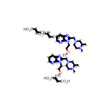 CCOCCn1c(CN2CCN(C)C(C)C2)nc2cccnc21.CCOCCn1c(CN2CCN(C)C(C)C2)nc2cccnc21.O=C(O)C=CC(=O)O.O=C(O)C=CC(=O)O.O=C(O)C=CC(=O)O